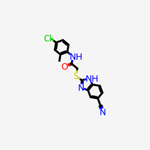 Cc1cc(Cl)ccc1NC(=O)CSc1nc2cc(C#N)ccc2[nH]1